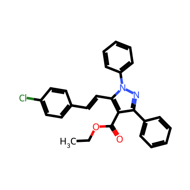 CCOC(=O)c1c(-c2ccccc2)nn(-c2ccccc2)c1C=Cc1ccc(Cl)cc1